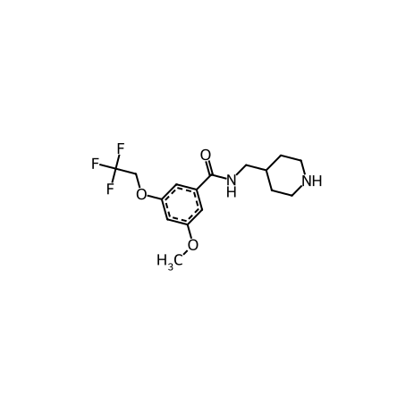 COc1cc(OCC(F)(F)F)cc(C(=O)NCC2CCNCC2)c1